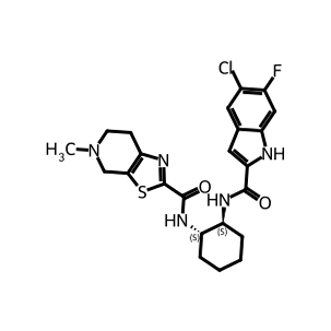 CN1CCc2nc(C(=O)N[C@H]3CCCC[C@@H]3NC(=O)c3cc4cc(Cl)c(F)cc4[nH]3)sc2C1